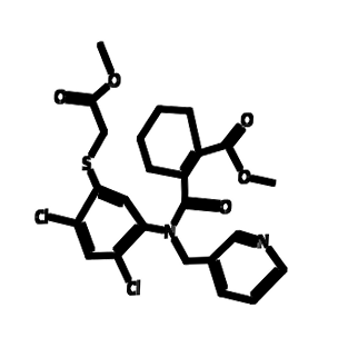 COC(=O)CSc1cc(N(Cc2cccnc2)C(=O)C2=C(C(=O)OC)CCCC2)c(Cl)cc1Cl